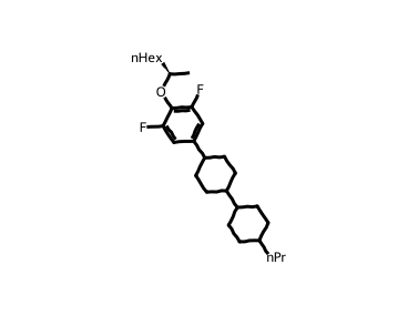 CCCCCC[C@@H](C)Oc1c(F)cc(C2CCC(C3CCC(CCC)CC3)CC2)cc1F